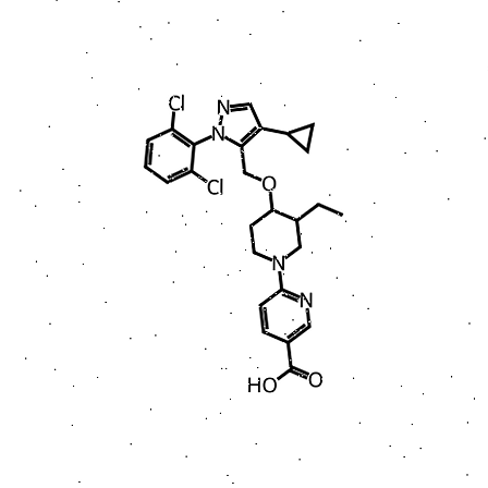 CCC1CN(c2ccc(C(=O)O)cn2)CCC1OCc1c(C2CC2)cnn1-c1c(Cl)cccc1Cl